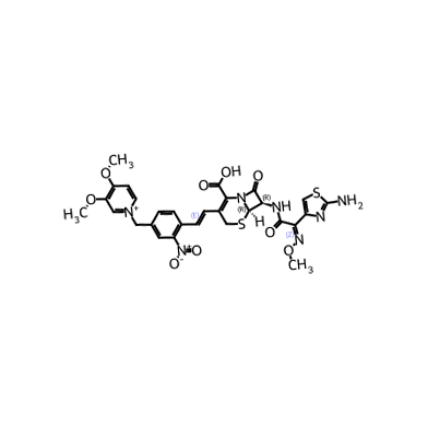 CO/N=C(\C(=O)N[C@@H]1C(=O)N2C(C(=O)O)=C(/C=C/c3ccc(C[n+]4ccc(OC)c(OC)c4)cc3[N+](=O)[O-])CS[C@H]12)c1csc(N)n1